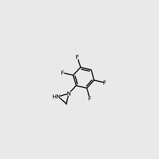 Fc1cc(F)c(F)c(N2CN2)c1F